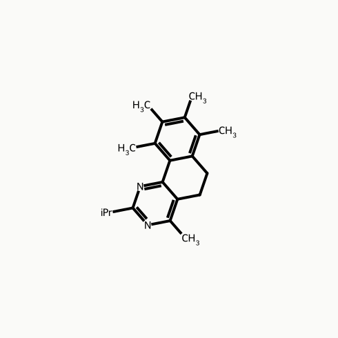 Cc1nc(C(C)C)nc2c1CCc1c(C)c(C)c(C)c(C)c1-2